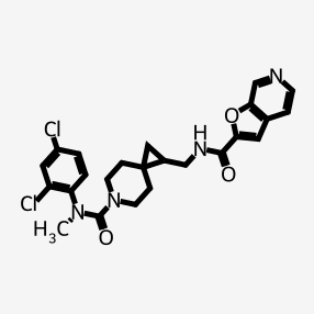 CN(C(=O)N1CCC2(CC1)CC2CNC(=O)c1cc2ccncc2o1)c1ccc(Cl)cc1Cl